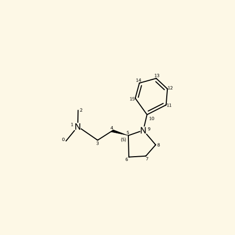 CN(C)CC[C@@H]1CCCN1c1ccccc1